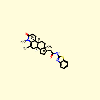 CC1=C2N(C)C(=O)CC[C@]2(C)[C@H]2CC[C@]3(C)[C@@H](CC(=O)Nc4nc5ccccc5s4)CC[C@H]3[C@@H]2C1